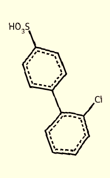 O=S(=O)(O)c1ccc(-c2ccccc2Cl)cc1